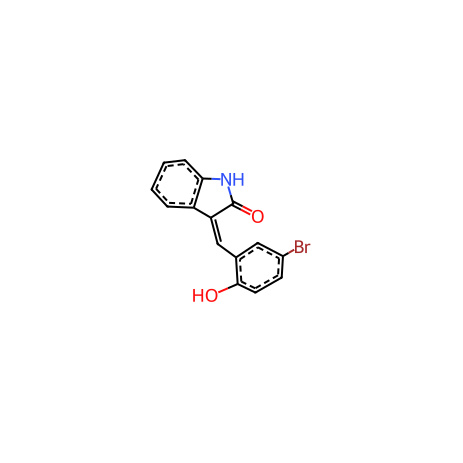 O=C1Nc2ccccc2C1=Cc1cc(Br)ccc1O